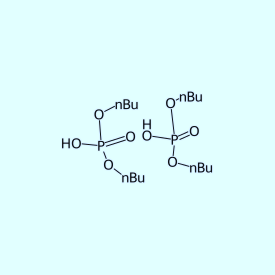 CCCCOP(=O)(O)OCCCC.CCCCOP(=O)(O)OCCCC